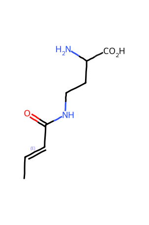 C/C=C/C(=O)NCCC(N)C(=O)O